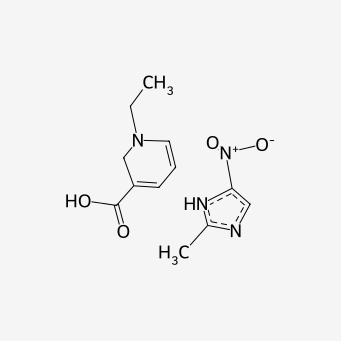 CCN1C=CC=C(C(=O)O)C1.Cc1ncc([N+](=O)[O-])[nH]1